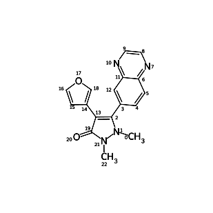 Cn1c(-c2ccc3nccnc3c2)c(-c2ccoc2)c(=O)n1C